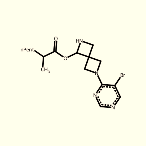 CCCCCC(C)C(=O)OC1NCC12CN(c1ncncc1Br)C2